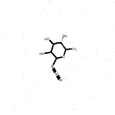 CC1OC(N=[N+]=[N-])C(O)C(O)[C@@H]1O